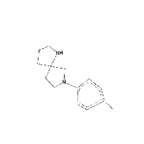 Cc1ccc(N2CCC3(CCCN3)C2)cc1